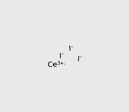 [Ce+3].[I-].[I-].[I-]